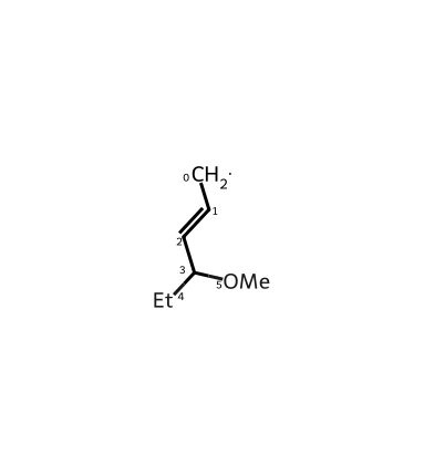 [CH2]C=CC(CC)OC